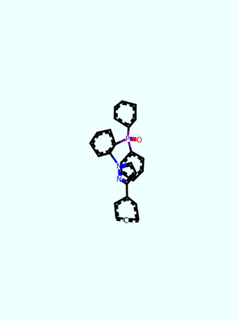 O=P(c1ccccc1)(c1ccccc1)c1ccccc1-n1ccc(-c2ccccc2)n1